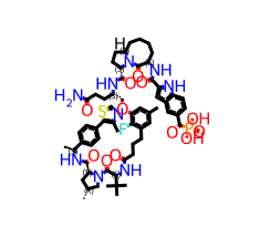 Cc1cc(CCCC(=O)N[C@H](C(=O)N2C[C@H](C)C[C@H]2C(=O)N[C@@H](C)c2ccc(-c3scnc3C)cc2)C(C)(C)C)c(F)c(OC[C@H](CCC(N)=O)NC(=O)[C@@H]2CC[C@@H]3CCCC[C@H](NC(=O)c4cc5cc(C(=O)P(=O)(O)O)ccc5[nH]4)C(=O)N32)c1